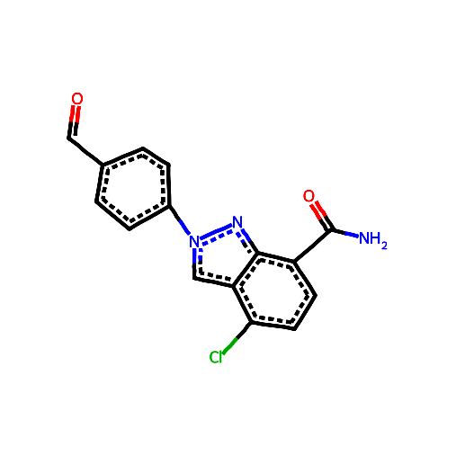 NC(=O)c1ccc(Cl)c2cn(-c3ccc(C=O)cc3)nc12